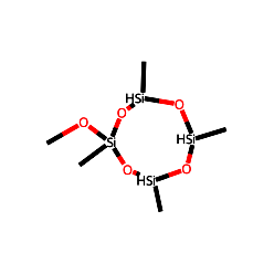 CO[Si]1(C)O[SiH](C)O[SiH](C)O[SiH](C)O1